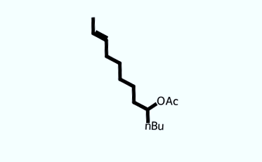 CC=CCCCCCC(CCCC)OC(C)=O